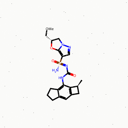 COC[C@@H]1Cn2ncc([S@](N)(=O)=NC(=O)Nc3c4c(cc5c3[C@@H](C)C5)CCC4)c2O1